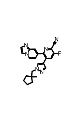 CC1(Cn2cc(-c3cc(F)c(C#N)nc3-c3ccn4ccnc4c3)cn2)CCCC1